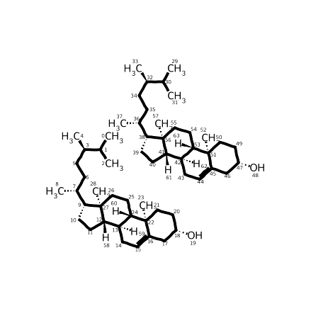 CC(C)[C@H](C)CC[C@@H](C)[C@H]1CC[C@H]2[C@@H]3CC=C4C[C@@H](O)CC[C@]4(C)[C@H]3CC[C@]12C.CC(C)[C@H](C)CC[C@@H](C)[C@H]1CC[C@H]2[C@@H]3CC=C4C[C@@H](O)CC[C@]4(C)[C@H]3CC[C@]12C